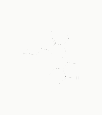 CCC(CC)C(=O)O.CCC(CC)C(=O)OCCO